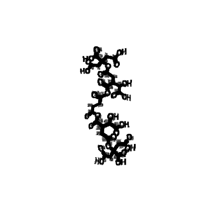 O=C(O)CC(CC(=O)O)(OC(=O)CC(C(=O)OC(=O)CCC(=O)OC(=O)C(CC(=O)OC(CC(=O)O)(CC(=O)O)C(=O)O)C(O)C(=O)O)C(O)C(=O)O)C(=O)O